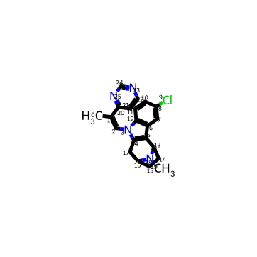 C/C(=C/n1c2c(c3cc(Cl)ccc31)C1CCC(C2)N1C)c1ccncn1